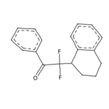 O=C(c1ccccc1)C(F)(F)C1CCCc2ccccc21